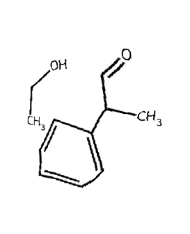 CC(C=O)c1ccccc1.CCO